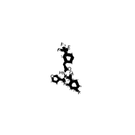 O=C(Cc1cccc(C(F)(F)F)c1)Nn1c(C2CCOC2)nc2cc(F)ccc2c1=O